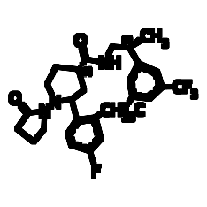 Cc1cc(F)ccc1C1C[C@@H](C(=O)NC[C@@H](C)c2cc(C(F)(F)F)cc(C(F)(F)F)c2)CCN1N1CCCC1=O